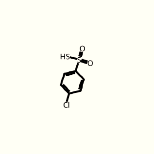 O=S(=O)(S)c1ccc(Cl)cc1